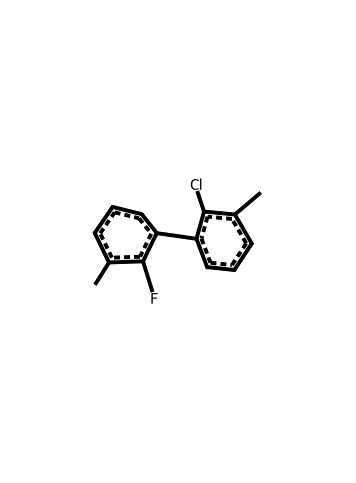 Cc1cccc(-c2cccc(C)c2Cl)c1F